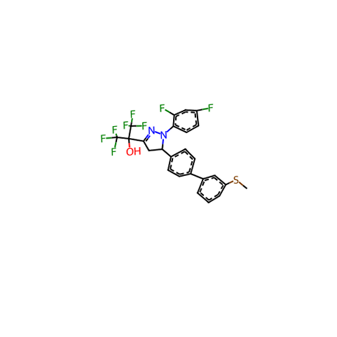 CSc1cccc(-c2ccc(C3CC(C(O)(C(F)(F)F)C(F)(F)F)=NN3c3ccc(F)cc3F)cc2)c1